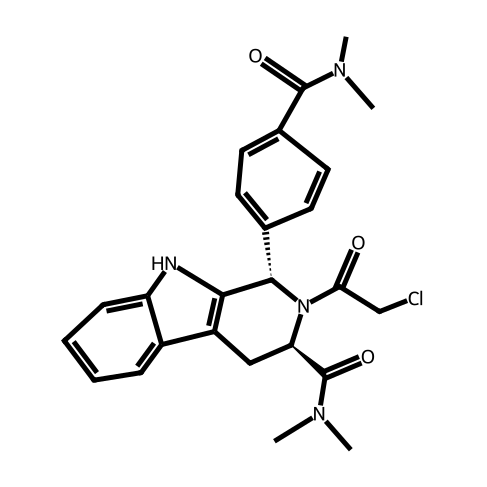 CN(C)C(=O)c1ccc([C@H]2c3[nH]c4ccccc4c3C[C@H](C(=O)N(C)C)N2C(=O)CCl)cc1